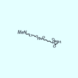 CNCCOCCOCCNC(=O)CCCCCN1C(=O)CNC1=O